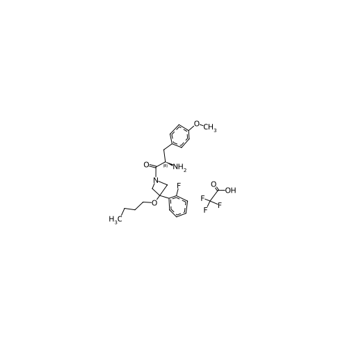 CCCCOC1(c2ccccc2F)CN(C(=O)[C@H](N)Cc2ccc(OC)cc2)C1.O=C(O)C(F)(F)F